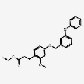 CCOC(=O)CCc1ccc(OCc2cccc(Oc3ccccc3)c2)cc1OC